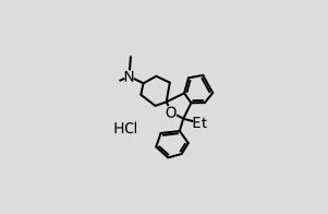 CCC1(c2ccccc2)OC2(CCC(N(C)C)CC2)c2ccccc21.Cl